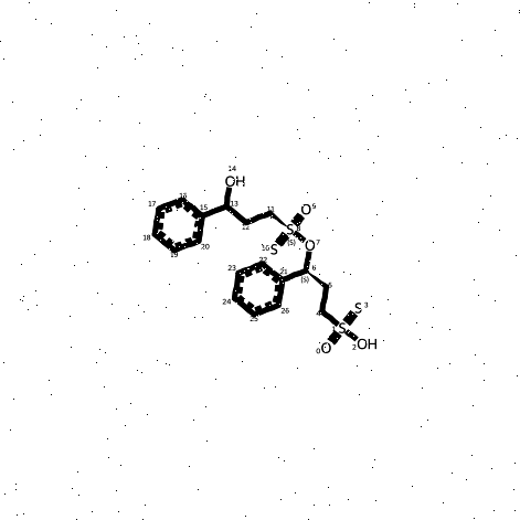 O=S(O)(=S)CC[C@H](O[S@@](=O)(=S)CCC(O)c1ccccc1)c1ccccc1